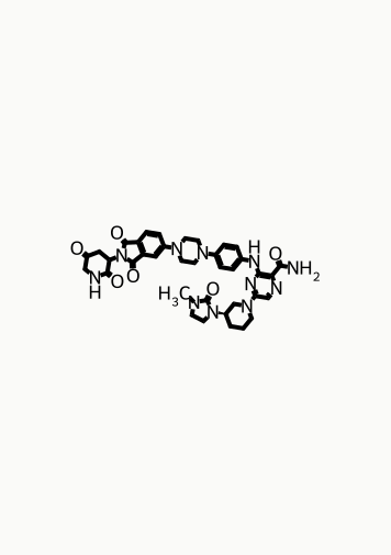 CN1CCN([C@@H]2CCCN(c3cnc(C(N)=O)c(Nc4ccc(N5CCN(c6ccc7c(c6)C(=O)N(C6CC(=O)CNC6=O)C7=O)CC5)cc4)n3)C2)C1=O